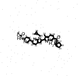 COC(=O)Nc1ccc(-c2ccc3cc(-c4nn5cc(C(=O)N6CC7CCC6[C@@H]7N)ccc5c4C)n(CC4CC4)c3n2)cn1